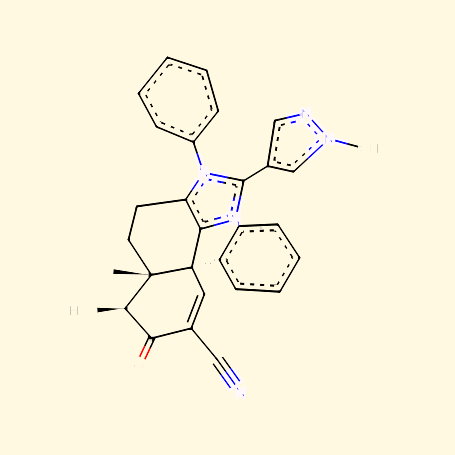 C[C@@H]1C(=O)C(C#N)=C[C@]2(c3ccccc3)c3nc(-c4cnn(C)c4)n(-c4ccccc4)c3CC[C@@H]12